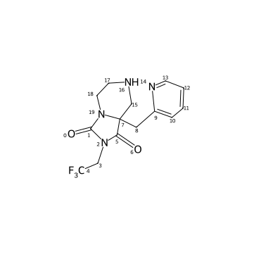 O=C1N(CC(F)(F)F)C(=O)C2(Cc3ccccn3)CNCCN12